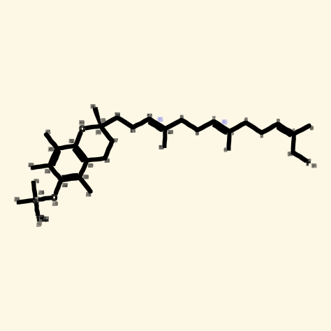 CC(=CCC/C(C)=C/CC/C(C)=C/CC[C@]1(C)CCc2c(C)c(O[Si](C)(C)C(C)(C)C)c(C)c(C)c2O1)CF